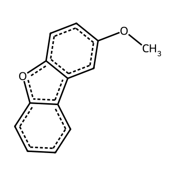 COc1ccc2oc3ccccc3c2c1